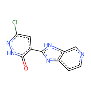 O=c1[nH]nc(Cl)cc1-c1nc2ccncc2[nH]1